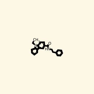 CCn1c2ccccc2c2cc(C(=O)NCCc3ccccc3)ccc21